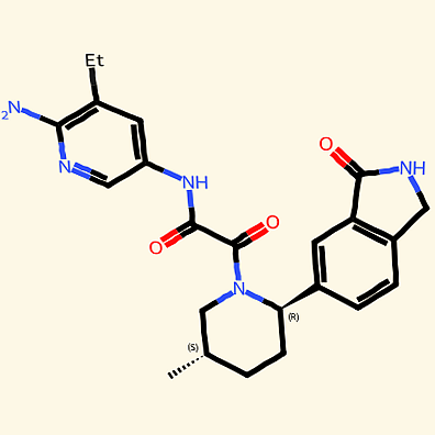 CCc1cc(NC(=O)C(=O)N2C[C@@H](C)CC[C@@H]2c2ccc3c(c2)C(=O)NC3)cnc1N